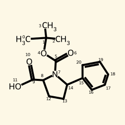 CC(C)(C)OC(=O)N1C(C(=O)O)CCC1c1ccccc1